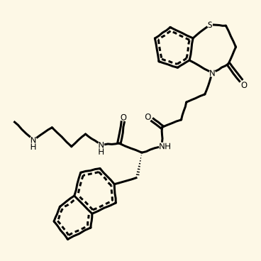 CNCCCNC(=O)[C@@H](Cc1ccc2ccccc2c1)NC(=O)CCCN1C(=O)CCSc2ccccc21